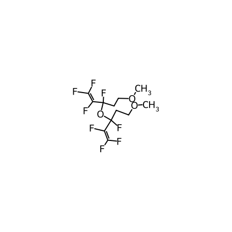 COCCC(F)(OC(F)(CCOC)C(F)=C(F)F)C(F)=C(F)F